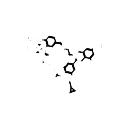 COc1ccc(C(=O)OCC(=O)O[C@@H](Cc2c(Cl)cc(C)cc2Cl)c2ccc(OC(F)F)c(OCC3CC3)c2)cc1N(C(=O)OC(C)(C)C)S(C)(=O)=O